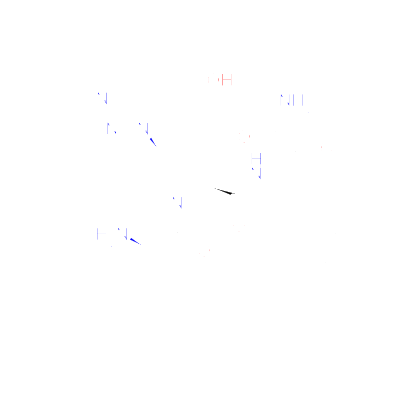 CC(C)(O)c1cnnn1[C@H]1C[C@@H](C(=O)NC2(C(=O)C(N)=O)CC3(CCC3)C2)N(C(=O)[C@H](N)CC2CCCCC2)C1